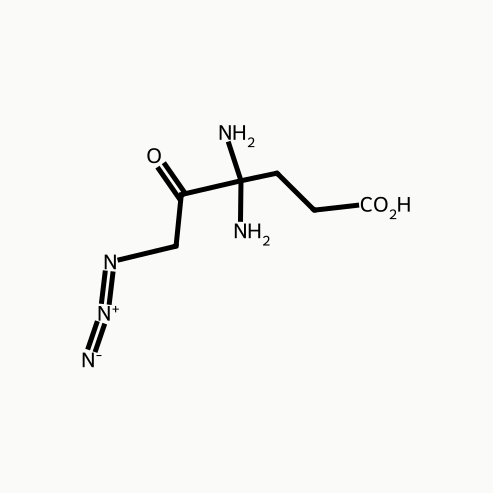 [N-]=[N+]=NCC(=O)C(N)(N)CCC(=O)O